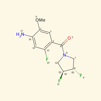 COc1cc(C(=O)N2C[C@H](F)[C@@H](F)C2)c(F)cc1N